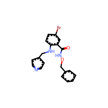 O=C(NOCc1ccccc1)c1cc(Br)ccc1NCc1ccncc1